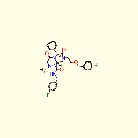 CN1CC(=O)N2[C@@H](c3ccccc3)C(=O)N(CCOCc3ccc(F)cc3)C[C@@H]2N1C(=O)NCc1ccc(F)cc1